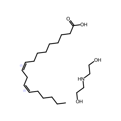 CCCCC/C=C\C/C=C\CCCCCCCC(=O)O.OCCNCCO